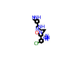 O=c1cc(-c2cc(Cl)ccc2-n2cnnn2)cc2n1C(c1ncc(-c3ccc4[nH]ncc4c3)[nH]1)C1CC21